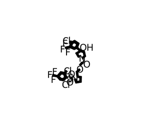 O=C(COCC1CCCN1S(=O)(=O)c1c(Cl)cc(C(F)(F)F)cc1Cl)N1CCC(O)(c2ccc(Cl)c(C(F)(F)F)c2)CC1